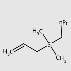 C=CC[Si](C)(C)CCCC